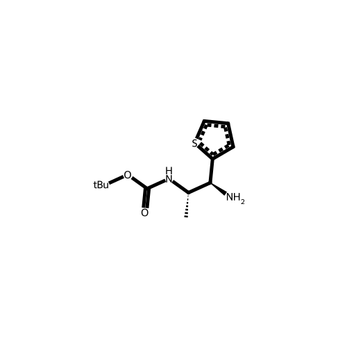 C[C@H](NC(=O)OC(C)(C)C)[C@H](N)c1cccs1